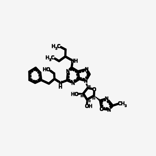 CCC(CC)Nc1nc(NC(CO)Cc2ccccc2)nc2c1ncn2[C@@H]1O[C@H](c2nc(C)no2)[C@@H](O)[C@H]1O